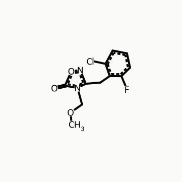 COCn1c(Cc2c(F)cccc2Cl)noc1=O